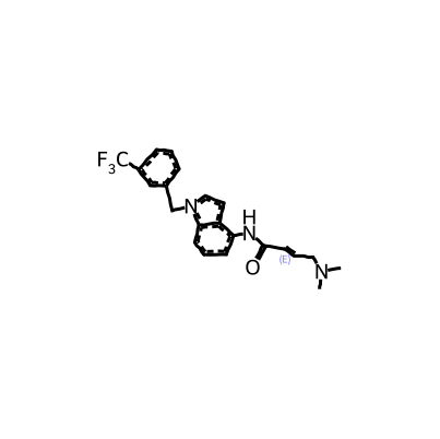 CN(C)C/C=C/C(=O)Nc1cccc2c1ccn2Cc1cccc(C(F)(F)F)c1